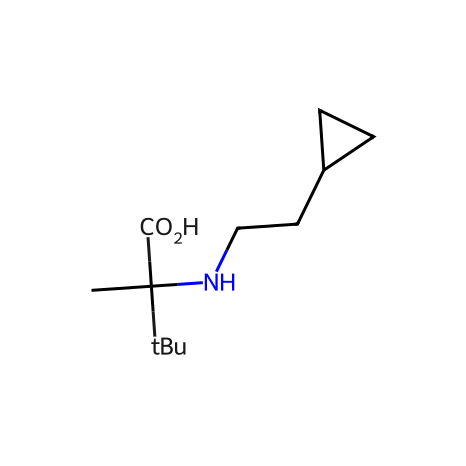 CC(C)(C)C(C)(NCCC1CC1)C(=O)O